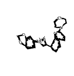 c1cc(-c2cn(-c3ccc4c(c3)OCO4)nn2)c2nc(N3CCOCC3)ccc2c1